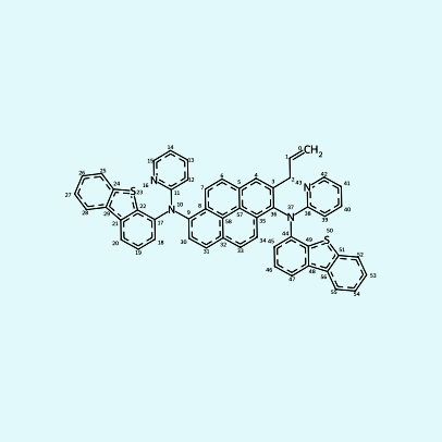 C=CCc1cc2ccc3c(N(c4ccccn4)c4cccc5c4sc4ccccc45)ccc4ccc(c1N(c1ccccn1)c1cccc5c1sc1ccccc15)c2c43